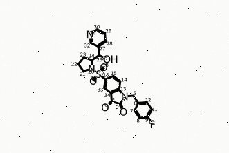 O=C1C(=O)N(Cc2ccc(F)cc2)c2ccc(S(=O)(=O)N3CCCC3C(O)c3cccnc3)cc21